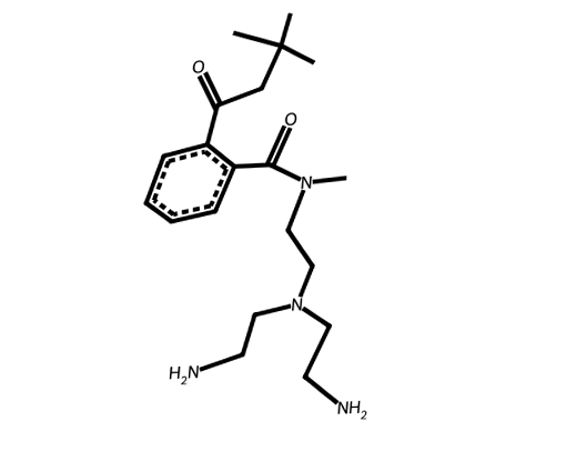 CN(CCN(CCN)CCN)C(=O)c1ccccc1C(=O)CC(C)(C)C